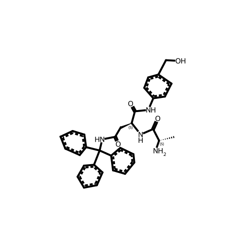 C[C@H](N)C(=O)N[C@@H](CC(=O)NC(c1ccccc1)(c1ccccc1)c1ccccc1)C(=O)Nc1ccc(CO)cc1